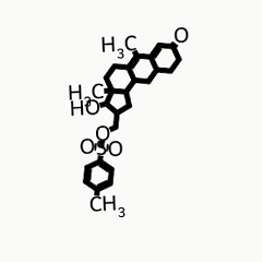 CC1=C2CCC3(C)C(O)C(COS(=O)(=O)c4ccc(C)cc4)CC3C2CC2CCC(=O)C=C12